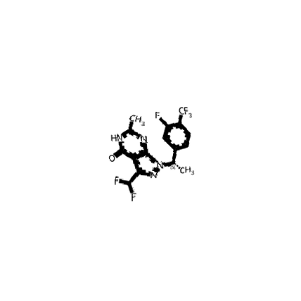 Cc1nc2c(c(C(F)F)nn2[C@@H](C)c2ccc(C(F)(F)F)c(F)c2)c(=O)[nH]1